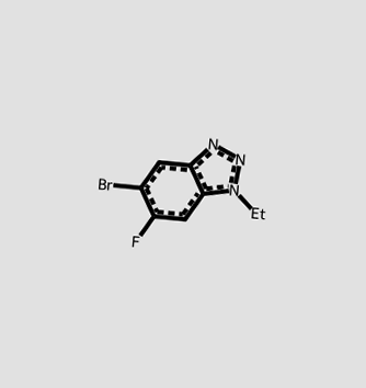 CCn1nnc2cc(Br)c(F)cc21